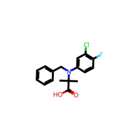 CC(C)(C(=O)O)N(Cc1ccccc1)c1ccc(F)c(Cl)c1